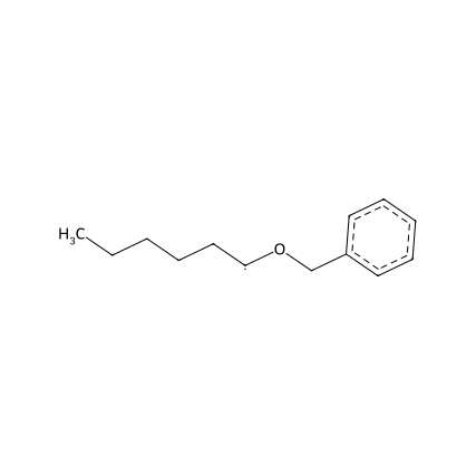 CCCCC[CH]OCc1ccccc1